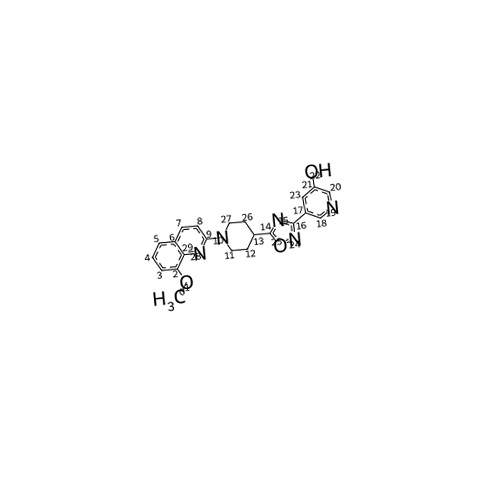 COc1cccc2ccc(N3CCC(c4nc(-c5cncc(O)c5)no4)CC3)nc12